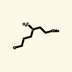 COCCN(C)CCC[O]